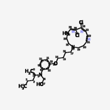 C=C(CCC)N(CO)c1cccc(OCCCCN2CC\C=C/C=C(Cl)\C(Cl)=C\NCC2)c1